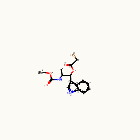 CC(NC(=O)OC(C)(C)C)C(OC(=O)CS)c1c[nH]c2ccccc12